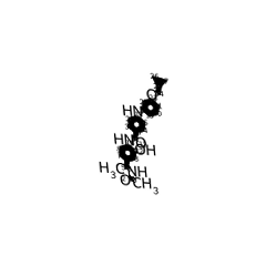 CC(=O)NC(C)c1ccc(NC(=O)c2ccc(Nc3cccc(OCC4CC4)c3)cc2)c(O)c1